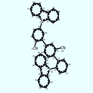 N#Cc1ccc(-n2c3ccccc3c3ccccc32)cc1-c1ccc(-c2ccccc2-n2c3ccccc3c3ccccc32)c(C#N)c1